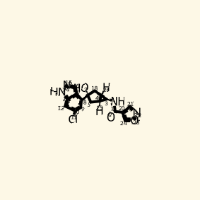 O=C(N[C@H]1[C@@H]2C[C@@](O)(c3cc(Cl)cc4[nH]ncc34)C[C@@H]21)c1cnoc1